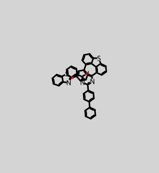 c1ccc(-c2ccc(-c3nc(-c4ccccc4)nc(-c4cccc5sc6cccc(-c7cccc(-c8nc9ccccc9s8)c7)c6c45)n3)cc2)cc1